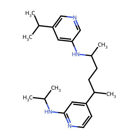 CC(C)Nc1cc(C(C)CCC(C)Nc2cncc(C(C)C)c2)ccn1